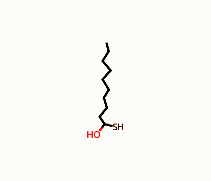 CCCCCCCCCC(O)S